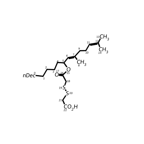 CCCCCCCCCCCCCCC(/C=C(\C)CCC=C(C)C)OC(=O)CSSCC(=O)O